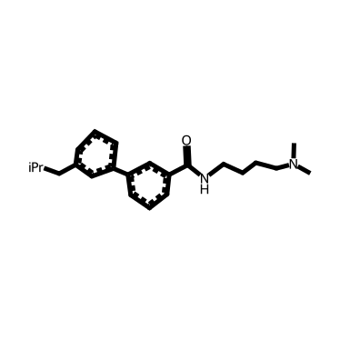 CC(C)Cc1cccc(-c2cccc(C(=O)NCCCCN(C)C)c2)c1